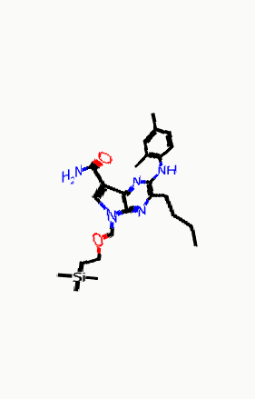 CCCCc1nc2c(nc1Nc1ccc(C)cc1C)c(C(N)=O)cn2COCC[Si](C)(C)C